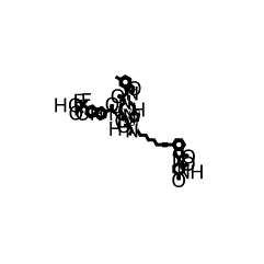 Cc1ccc2onc(C(=O)N3CC[C@H]4CC[C@@H](C(=O)N(C)CCCCCCC#Cc5cccc6c5CN(C5CCC(=O)NC5=O)C6=O)N4C(=O)[C@@H](NC(=O)c4ccc5ccc(C(F)(F)P(=O)(O)O)cc5c4)C3)c2c1